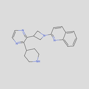 c1ccc2nc(N3CC(c4nccnc4C4CCNCC4)C3)ccc2c1